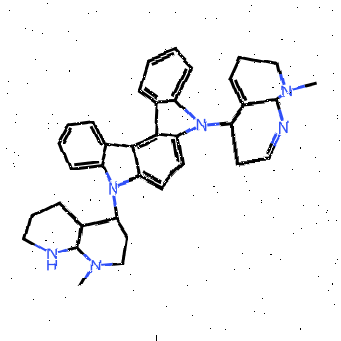 CN1CCC=C2C1N=CCC2n1c2ccccc2c2c3c4ccccc4n(C4CCN(C)C5NCCCC54)c3ccc21